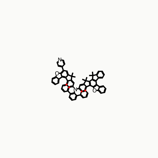 CC1(C)c2cc(N(c3ccc4c(c3)C(C)(C)c3c5c(c6c(oc7ccccc76)c3-4)-c3ccccc3C5(C)C)c3c(-c4ccccc4)cccc3-c3ccccc3)ccc2-c2c1cc(-c1ccncc1)c1oc3ccccc3c21